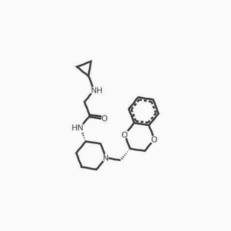 O=C(CNC1CC1)N[C@H]1CCCN(C[C@H]2COc3ccccc3O2)C1